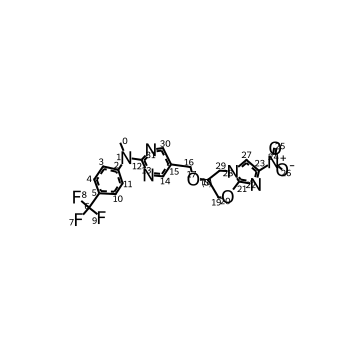 CN(c1ccc(C(F)(F)F)cc1)c1ncc(CO[C@@H]2COc3nc([N+](=O)[O-])cn3C2)cn1